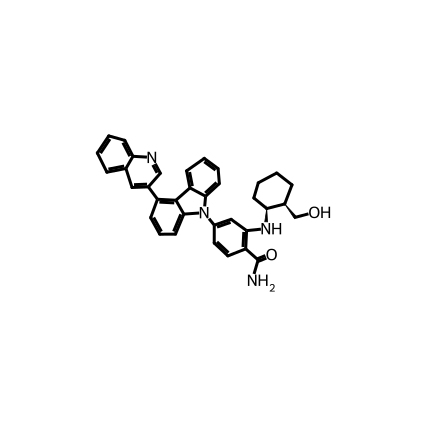 NC(=O)c1ccc(-n2c3ccccc3c3c(-c4cnc5ccccc5c4)cccc32)cc1N[C@H]1CCCC[C@H]1CO